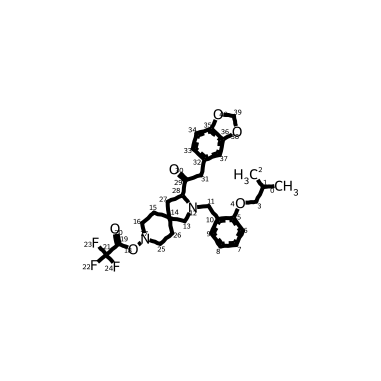 CC(C)COc1ccccc1CN1CC2(CCN(OC(=O)C(F)(F)F)CC2)CC1C(=O)Cc1ccc2c(c1)OCO2